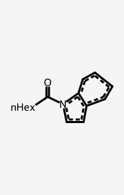 CCCCCCC(=O)n1ccc2ccccc21